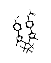 COc1ccc(-c2cc(C3=C(c4cc(-c5ccc(OC(C)=O)cc5)sc4C)C(F)(F)C(F)(F)C3(F)F)c(C)s2)cc1